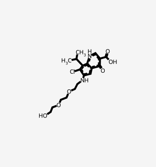 CC(C)c1c(Cl)c(NCCOCCOCCO)cc2c(=O)c(C(=O)O)c[nH]c12